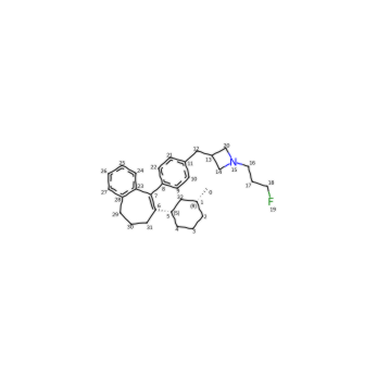 C[C@@H]1CCC[C@H](C2=C(c3ccc(CC4CN(CCCF)C4)cc3)c3ccccc3CCC2)C1